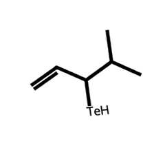 C=CC([TeH])C(C)C